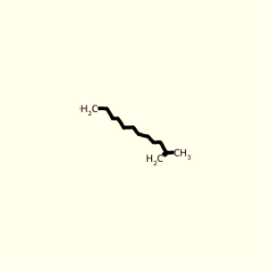 [CH2]CCCCCCCCCC(=C)C